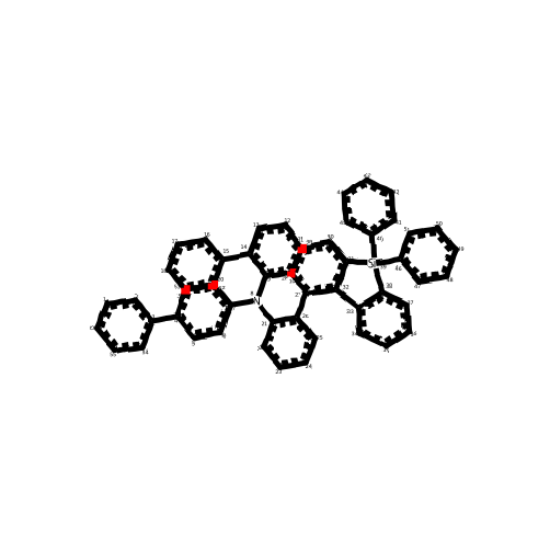 c1ccc(-c2ccc(N(c3ccccc3-c3ccccc3)c3ccccc3-c3cccc4c3-c3ccccc3[Si]4(c3ccccc3)c3ccccc3)cc2)cc1